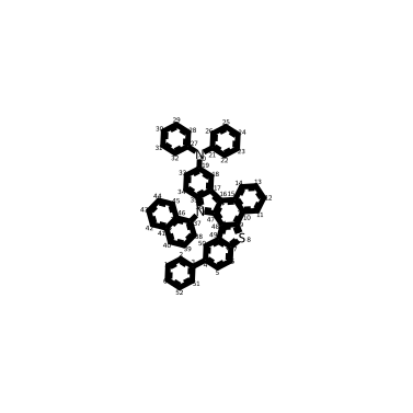 c1ccc(-c2ccc3sc4c5ccccc5c5c6cc(N(c7ccccc7)c7ccccc7)ccc6n(-c6cccc7ccccc67)c5c4c3c2)cc1